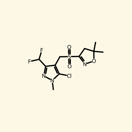 Cn1nc(C(F)F)c(CS(=O)(=O)C2=NOC(C)(C)C2)c1Cl